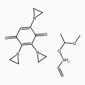 C=C[SiH2]OC(C)OC.O=C1C=C(N2CC2)C(=O)C(N2CC2)=C1N1CC1